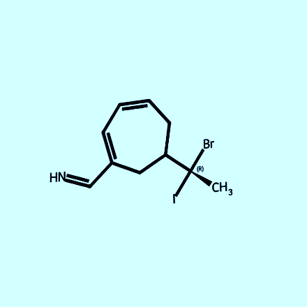 C[C@@](Br)(I)C1CC=CC=C(C=N)C1